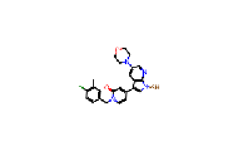 Cc1cc(Cn2ccc(-c3cn(S)c4ncc(N5CCOCC5)cc34)cc2=O)ccc1F